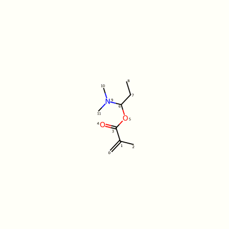 C=C(C)C(=O)OC(CC)N(C)C